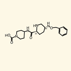 O=C(NC1CCN(C(=O)O)CC1)[C@@H]1CC[C@@H](NOCc2ccccc2)CN1